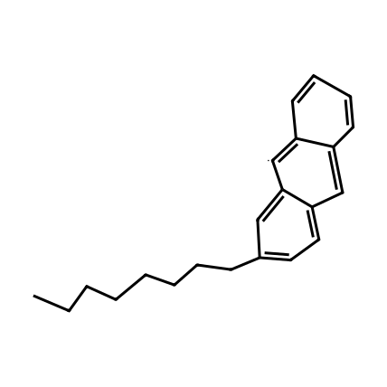 CCCCCCCCc1ccc2cc3ccccc3[c]c2c1